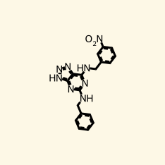 O=[N+]([O-])c1cccc(CNc2nc(NCc3ccccc3)nc3[nH]nnc23)c1